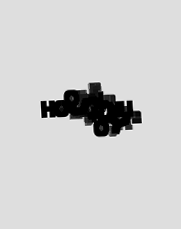 CCC(C)[C@H](N)C(=O)NC[C@H](CC(=O)O)[C@H](C)[C@H](C)CC